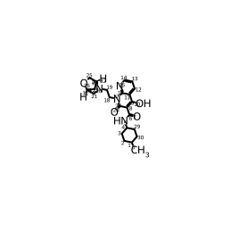 CC1CCC(NC(=O)c2c(O)c3cccnc3n(CCN3C[C@H]4C[C@@H]3CO4)c2=O)CC1